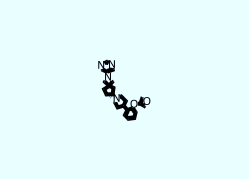 c1ccc(C2CCN([C@@H]3CCC4(C3)CN(c3cncnc3)C4)CC2)c(OC2COC2)c1